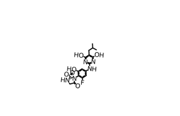 CC(C)Cc1c(O)nc(Nc2cc(O)c(N3C(=O)CNS3(=O)=O)c(F)c2)nc1O